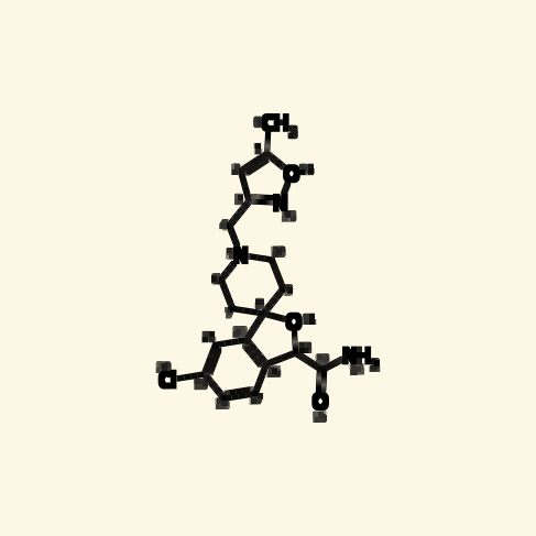 Cc1cc(CN2CCC3(CC2)OC(C(N)=O)c2ccc(Cl)cc23)no1